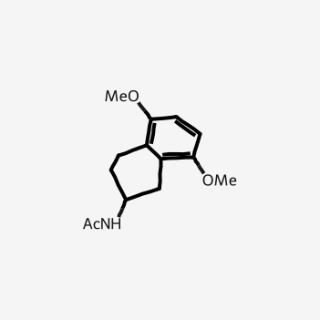 COc1ccc(OC)c2c1CCC(NC(C)=O)C2